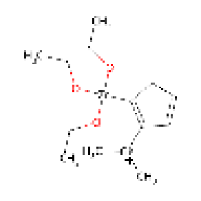 CC[O][Zr]([O]CC)([O]CC)[C]1=[C]([GeH]([CH3])[CH3])C=CC1